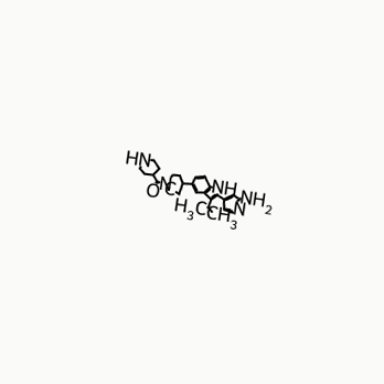 CC(C)c1c(-c2ccnc(N)c2)[nH]c2ccc(C3CCN(C(=O)C4CCNCC4)CC3)cc12